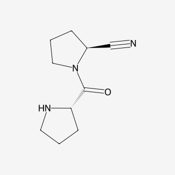 N#C[C@@H]1CCCN1C(=O)[C@@H]1CCCN1